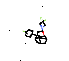 O=C(CC1(c2ccc(F)cc2)C2CC3CC(C2)CC1C3)N1CC(F)(F)C1